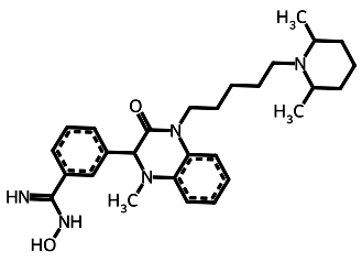 CC1CCCC(C)N1CCCCCN1C(=O)C(c2cccc(C(=N)NO)c2)N(C)c2ccccc21